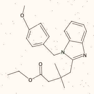 CCOC(=O)CC(C)(C)Cc1nc2ccccc2n1Cc1ccc(OC)cc1